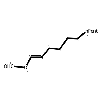 CCCCCCCCCC=COC=O